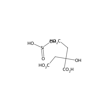 O=C(O)CC(O)(CC(=O)O)C(=O)O.O=[Si](O)O